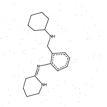 c1ccc(N=C2CCCCN2)c(CNC2CCCCC2)c1